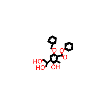 Cc1c(O)c(C(CO)CO)cc(OCc2ccccc2)c1C(=O)Oc1ccccc1